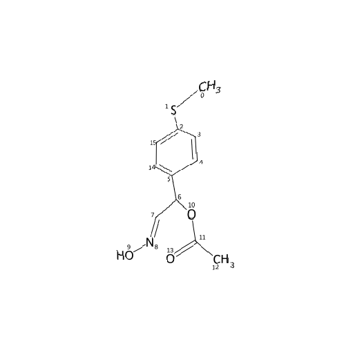 CSc1ccc(C(C=NO)OC(C)=O)cc1